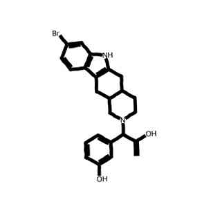 C=C(O)C(c1cccc(O)c1)N1CCC2Cc3[nH]c4cc(Br)ccc4c3CC2C1